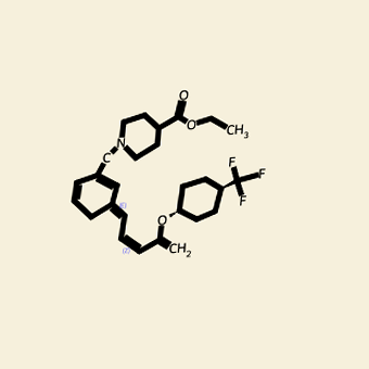 C=C(/C=C\C=C1\C=C(CN2CCC(C(=O)OCC)CC2)C=CC1)O[C@H]1CC[C@H](C(F)(F)F)CC1